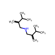 C=C(CNCC(=C)C(C)C)C(C)C